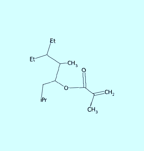 C=C(C)C(=O)OC(CC(C)C)C(C)C(CC)CC